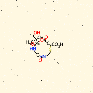 CC(C)(CO)[C@H]1OC(=O)CC(C(=O)O)SCCNC(=O)CCNC1=O